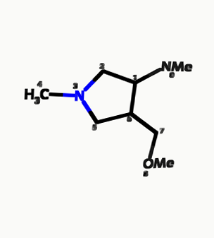 CNC1CN(C)CC1COC